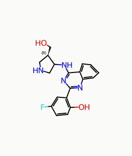 OC[C@@H]1CNCC1Nc1nc(-c2cc(F)ccc2O)nc2ccccc12